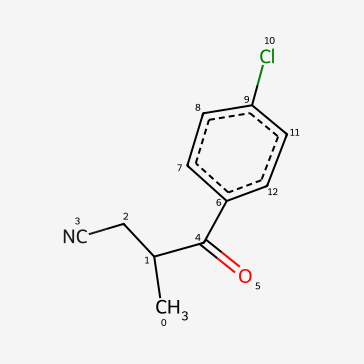 CC(CC#N)C(=O)c1ccc(Cl)cc1